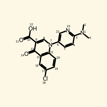 CN(C)c1ccc(-n2cc(C(=O)O)c(=O)c3cc(Cl)ccc32)cn1